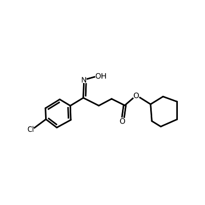 O=C(CCC(=NO)c1ccc(Cl)cc1)OC1CCCCC1